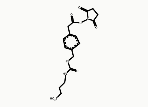 O=C(NCCCS(=O)(=O)O)NCc1ccc(CC(=O)ON2C(=O)CCC2=O)cc1